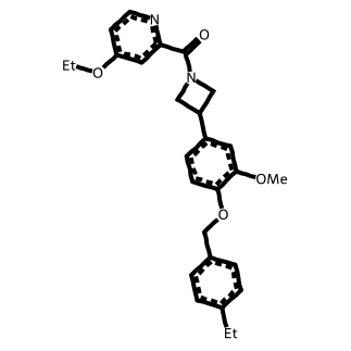 [CH2]COc1ccnc(C(=O)N2CC(c3ccc(OCc4ccc(CC)cc4)c(OC)c3)C2)c1